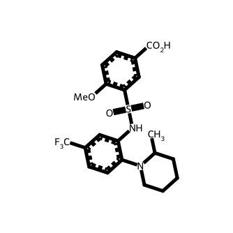 COc1ccc(C(=O)O)cc1S(=O)(=O)Nc1cc(C(F)(F)F)ccc1N1CCCCC1C